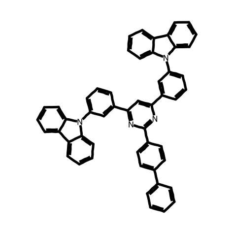 c1ccc(-c2ccc(-c3nc(-c4cccc(-n5c6ccccc6c6ccccc65)c4)cc(-c4cccc(-n5c6ccccc6c6ccccc65)c4)n3)cc2)cc1